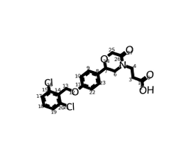 O=C(O)CCN1CC(c2ccc(OCc3c(Cl)cccc3Cl)cc2)OCC1=O